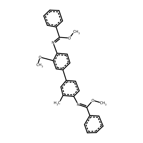 COC(=Nc1ccc(-c2ccc(N=C(OC)c3ccccc3)c(OC)c2)cc1C)c1ccccc1